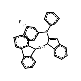 C1=C(P(c2ccccc2)c2ccccc2)[CH]([Zr+2][CH]2c3ccccc3-c3ccccc32)c2ccccc21.[F-].[F-]